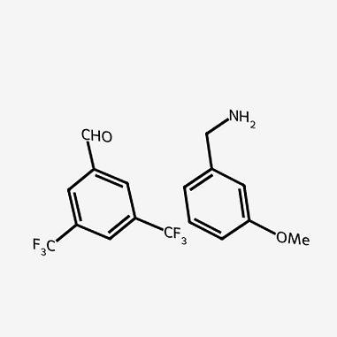 COc1cccc(CN)c1.O=Cc1cc(C(F)(F)F)cc(C(F)(F)F)c1